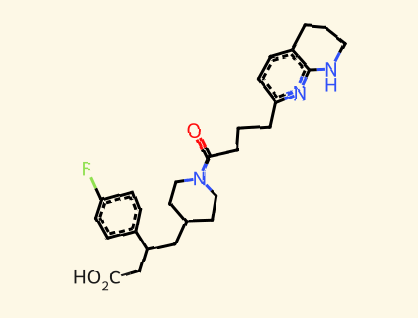 O=C(O)CC(CC1CCN(C(=O)CCCc2ccc3c(n2)NCCC3)CC1)c1ccc(F)cc1